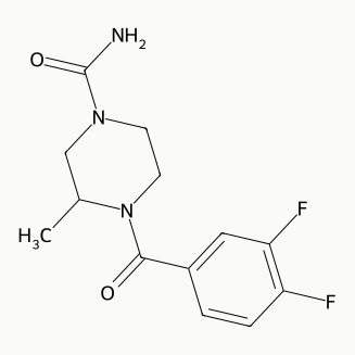 CC1CN(C(N)=O)CCN1C(=O)c1ccc(F)c(F)c1